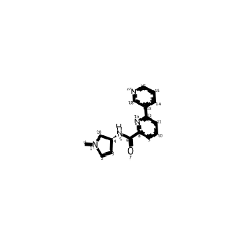 CN1CC[C@@H](NC(=O)c2cccc(-c3cccnc3)n2)C1